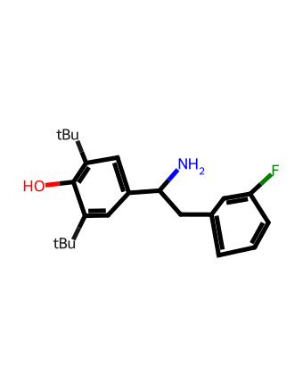 CC(C)(C)c1cc(C(N)Cc2cccc(F)c2)cc(C(C)(C)C)c1O